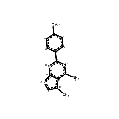 COc1ccc(-c2nc(N)c3c(C)csc3n2)cc1